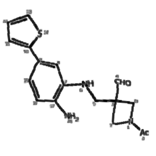 CC(=O)N1CC(C=O)(CNc2cc(-c3cccs3)ccc2N)C1